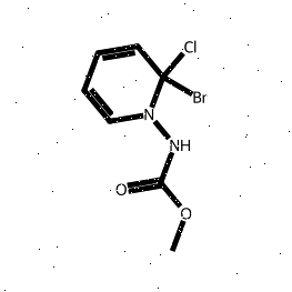 COC(=O)NN1C=CC=CC1(Cl)Br